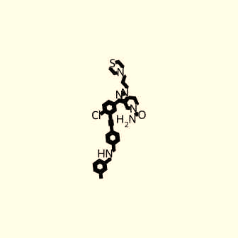 Cc1cccc(CNCc2ccc(C#Cc3cc(-c4nn(CCCN5CCSCC5)c5c4CN(C(N)=O)CC5)ccc3Cl)cc2)c1